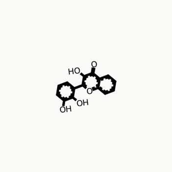 O=c1c(O)c(-c2cccc(O)c2O)oc2ccccc12